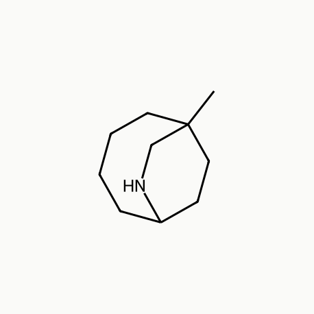 CC12CCCCC(CC1)NC2